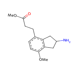 COC(=O)CCc1ccc(OC)c2c1CC(N)C2